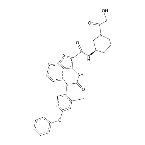 Cc1cc(Oc2ccccc2)ccc1N1C(=O)Nc2c(C(=O)N[C@@H]3CCCN(C(=O)CO)C3)sc3nccc1c23